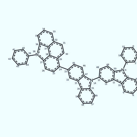 c1ccc(-n2c3ccccc3c3cc(-n4c5ccccc5c5cc(-c6ccc7c8c6ccc6cccc(c68)n7-c6ccccc6)ccc54)ccc32)cc1